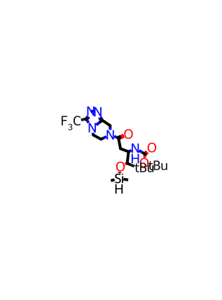 C[SiH](C)OC(C(CC(=O)N1CCn2c(nnc2C(F)(F)F)C1)NC(=O)OC(C)(C)C)C(C)(C)C